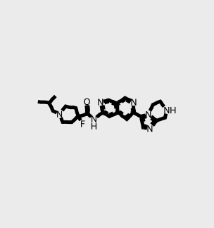 CC(C)CN1CCC(F)(C(=O)Nc2cc3cc(-c4cnc5n4CCNC5)ncc3cn2)CC1